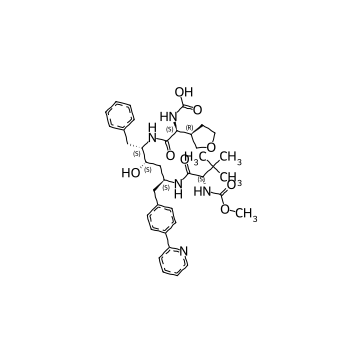 COC(=O)N[C@H](C(=O)N[C@@H](Cc1ccc(-c2ccccn2)cc1)C[C@H](O)[C@H](Cc1ccccc1)NC(=O)[C@@H](NC(=O)O)[C@H]1CCOC1)C(C)(C)C